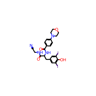 N#CCNC(=O)C(Cc1cc(I)c(O)c(I)c1)NC(=O)c1ccc(N2CCOCC2)cc1